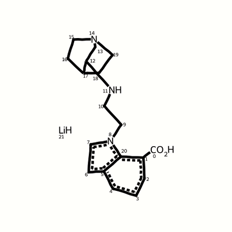 O=C(O)c1cccc2ccn(CCNC3CN4CCC3CC4)c12.[LiH]